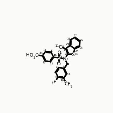 [11CH3]c1c(N(Cc2ccc(F)c(C(F)(F)F)c2)S(=O)(=O)c2ccc(C(=O)O)cc2)sc2ccccc12